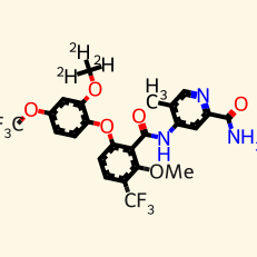 [2H]C([2H])([2H])Oc1cc(OC(F)(F)F)ccc1Oc1ccc(C(F)(F)F)c(OC)c1C(=O)Nc1cc(C(N)=O)ncc1C